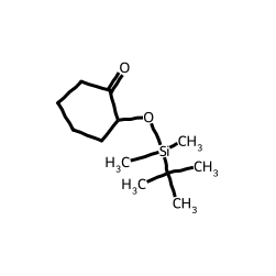 CC(C)(C)[Si](C)(C)OC1CCCCC1=O